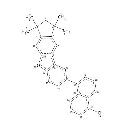 CC1(C)CC(C)(C)c2cc3c(cc21)oc1ccc(-c2cccc4c(Cl)cccc24)cc13